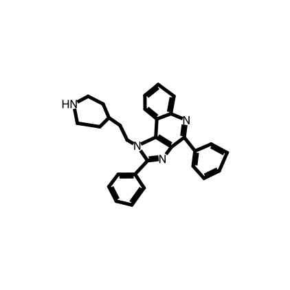 c1ccc(-c2nc3ccccc3c3c2nc(-c2ccccc2)n3CCC2CCNCC2)cc1